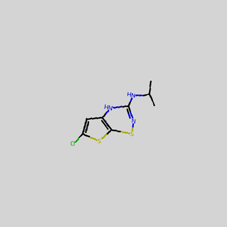 CC(C)NC1=NSc2sc(Cl)cc2N1